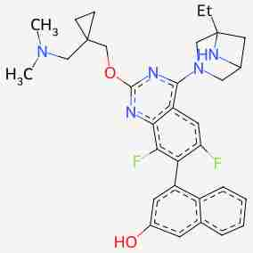 CCC12CC(CN(c3nc(OCC4(CN(C)C)CC4)nc4c(F)c(-c5cc(O)cc6ccccc56)c(F)cc34)C1)N2